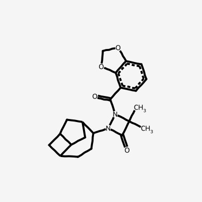 CC1(C)C(=O)N(C2CCC3CC4CC2CC34)N1C(=O)c1cccc2c1OCO2